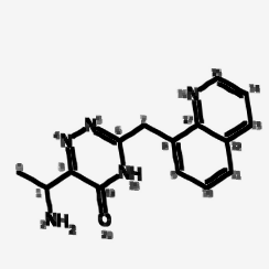 CC(N)c1nnc(Cc2cccc3cccnc23)[nH]c1=O